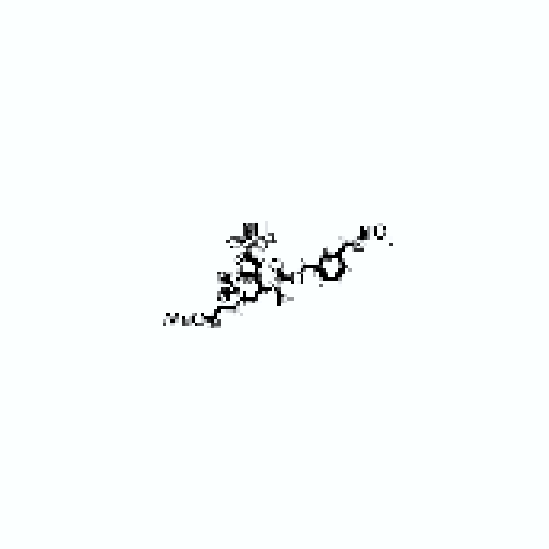 CCN(C(=O)OCc1cccc(CO[N+](=O)[O-])c1)[C@H]1CN(CCCOC)S(=O)(=O)c2sc(S(N)(=O)=O)cc21